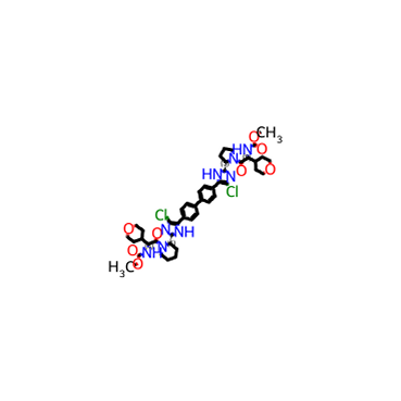 COC(=O)N[C@H](C(=O)N1CCCC[C@H]1c1nc(Cl)c(-c2ccc(-c3ccc(-c4[nH]c([C@@H]5CCCN5C(=O)[C@@H](NC(=O)OC)C5CCOCC5)nc4Cl)cc3)cc2)[nH]1)C1CCOCC1